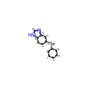 c1ccc([Se]c2ccc3[nH]cnc3c2)cc1